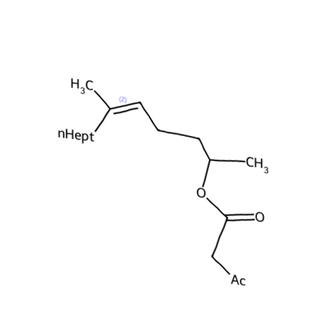 CCCCCCC/C(C)=C\CCC(C)OC(=O)CC(C)=O